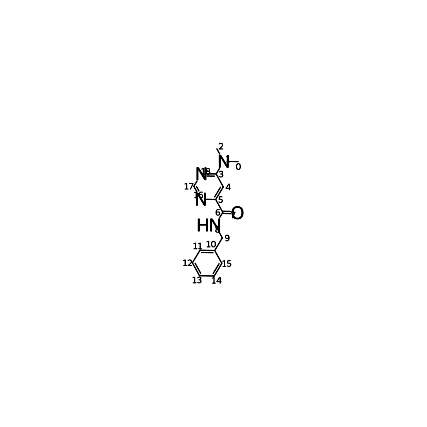 CN(C)c1cc(C(=O)NCc2ccccc2)ncn1